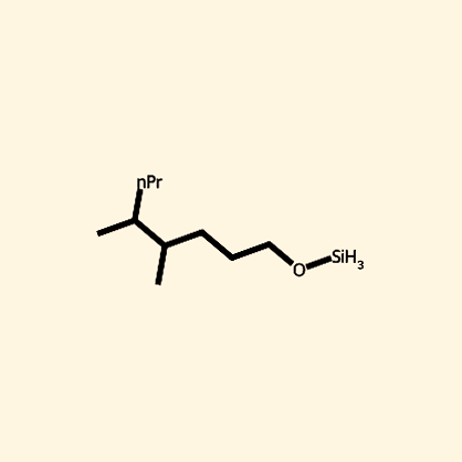 CCCC(C)C(C)CCCO[SiH3]